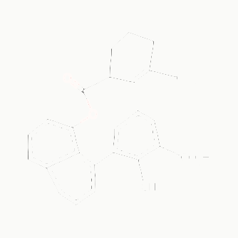 CC1=CC(C(=O)Oc2cccc3cccc(-c4cccc(C(=O)O)c4C)c23)CCC1